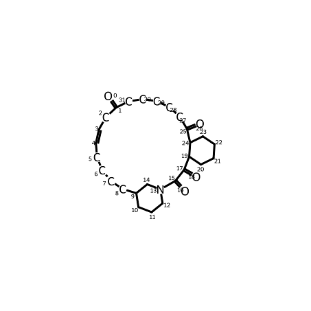 O=C1CC=CCCCCC2CCCN(C2)C(=O)C(=O)C2CCCCC2C(=O)CCCCC1